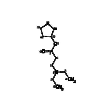 CCN(CC)CCC(=O)OC1CCCC1